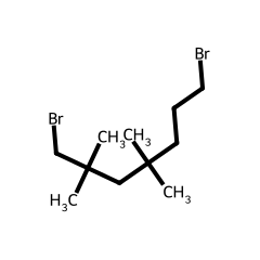 CC(C)(CBr)CC(C)(C)CCCBr